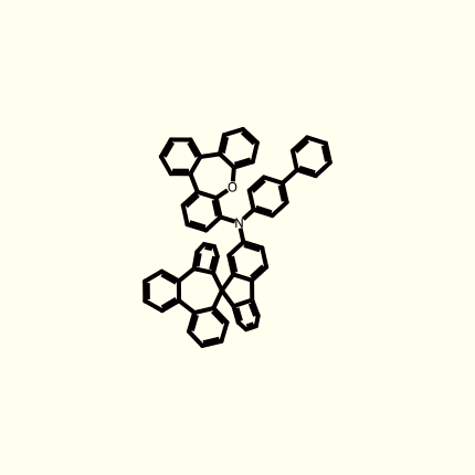 c1ccc(-c2ccc(N(c3ccc4c(c3)C3(c5ccccc5-c5ccccc5-c5ccccc53)c3ccccc3-4)c3cccc4c3Oc3ccccc3-c3ccccc3-4)cc2)cc1